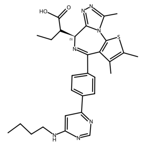 CCCCNc1cc(-c2ccc(C3=N[C@@H](C(CC)C(=O)O)c4nnc(C)n4-c4sc(C)c(C)c43)cc2)ncn1